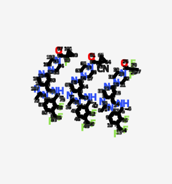 Cc1nc(N[C@H](C)c2cccc(C(F)F)c2F)c2cc(N3CCN(C(=O)C(C)(F)F)CC3)ncc2n1.Cc1nc(N[C@H](C)c2cccc(C(F)F)c2F)c2cc(N3CCN(C(=O)C4(C#N)CC4)CC3)ncc2n1.Cc1nc(N[C@H](C)c2cccc(C(F)F)c2F)c2cc(N3CCN(C(=O)C4(F)CC4)CC3)ncc2n1